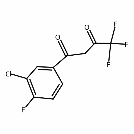 O=C(CC(=O)C(F)(F)F)c1ccc(F)c(Cl)c1